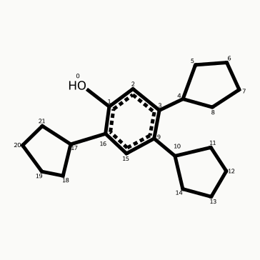 Oc1cc(C2CCCC2)c(C2CCCC2)cc1C1CCCC1